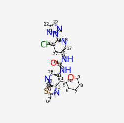 Cc1nc2c(C3CCCCO3)c(NC(=O)NC3=CN=C(n4nccn4)C(Cl)C3)cnc2s1